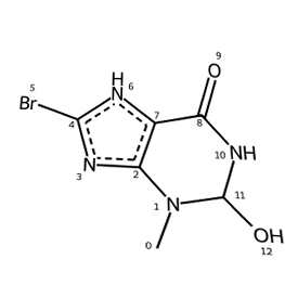 CN1c2nc(Br)[nH]c2C(=O)NC1O